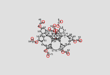 CC1(c2ccc(OC3CO3)cc2)CCC2(c3ccc(OC4CO4)cc3)CCC3(c4ccc(OC5CO5)cc4)CCC(C)(c4ccc(OC5CO5)cc4)c4ccc(OC5CO5)c(c4)Cc4cc3cc(c4OC3CO3)Cc3cc2cc(c3OC2CO2)Cc2cc1ccc2OC1CO1